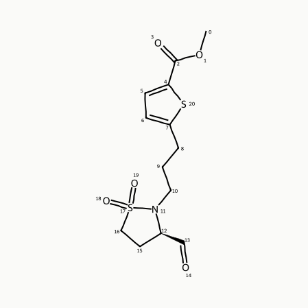 COC(=O)c1ccc(CCCN2[C@@H](C=O)CCS2(=O)=O)s1